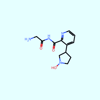 NCC(=O)NC(=O)c1ncccc1C1CCN(O)C1